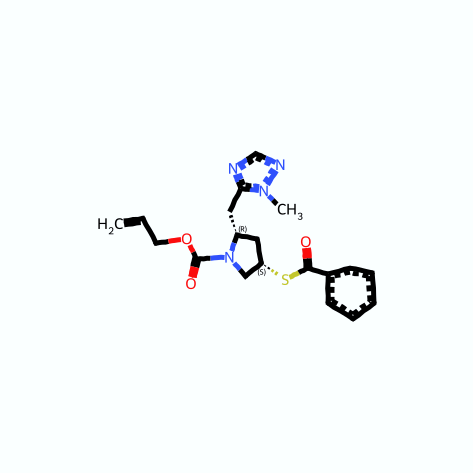 C=CCOC(=O)N1C[C@@H](SC(=O)c2ccccc2)C[C@H]1Cc1ncnn1C